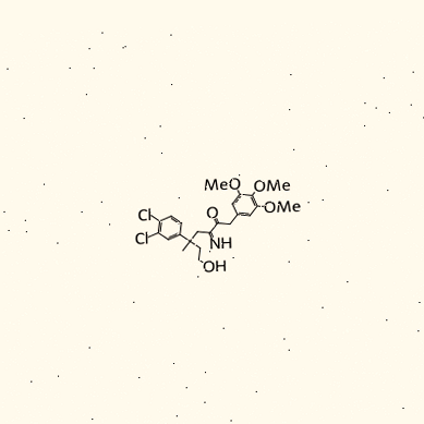 COc1cc(CC(=O)C(=N)CC(C)(CCO)c2ccc(Cl)c(Cl)c2)cc(OC)c1OC